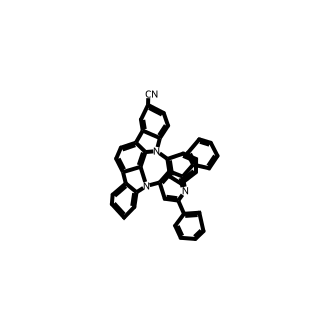 N#Cc1ccc2c(c1)c1ccc3c4ccccc4n(-c4cc(-c5ccccc5)nc(-c5ccccc5)c4)c3c1n2-c1ccccc1